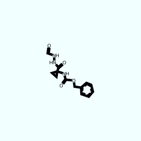 O=CNNC(=O)C1(NC(=O)OCc2ccccc2)CC1